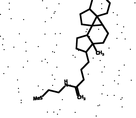 C=C(CCCC1CCC2C1(C)CCC1C34CCCCC3CCC214)NCCSC